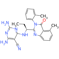 CC[C@H](Nc1nc(N)nc(N)c1C#N)c1nc2cccc(C)c2c(=O)n1-c1ccccc1C